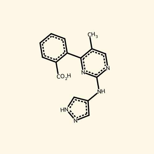 Cc1cnc(Nc2cn[nH]c2)nc1-c1ccccc1C(=O)O